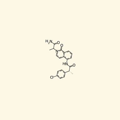 CC(C(N)=O)n1ccc2c(NC(=O)[C@H](C)c3ccc(Cl)cc3)cccc2c1=O